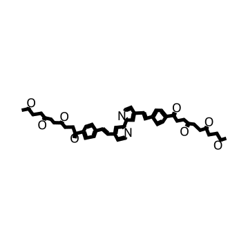 CC(=O)CCC(=O)CCC(=O)CCC(=O)c1ccc(C=Cc2ccnc(-c3cc(C=Cc4ccc(C(=O)CCC(=O)CCC(=O)CCC(C)=O)cc4)ccn3)c2)cc1